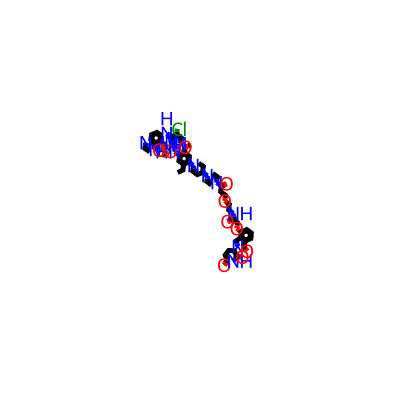 CCc1cc(Nc2ncc(Cl)c(Nc3ccc4nccnc4c3NS(C)(=O)=O)n2)c(OC)cc1N1CCC(N2CCN(C(=O)CCOCCNC(=O)COc3cccc4c3CN([C@@H]3CCC(=O)NC3=O)C4=O)CC2)CC1